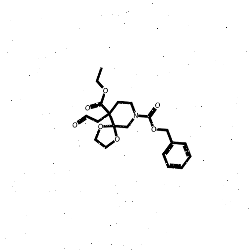 CCOC(=O)C1(CC=O)CCN(C(=O)OCc2ccccc2)CC12OCCO2